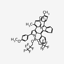 COc1ccc(-c2cc(-c3ccc(C)cc3C)c(/C(=C3\N=C(c4ccc(C)cc4)c4ccccc43)c3ccccc3)n2B(OCC(F)(F)C(F)(F)F)OCC(F)(F)C(F)(F)F)cc1